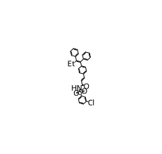 CCC(=C(c1ccccc1)c1ccc(C=CC(=O)NS(=O)(=O)c2cccc(Cl)c2)cc1)c1ccccc1